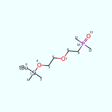 CC(C)(C)[Si](C)(C)OCCOCCP(C)(C)=O